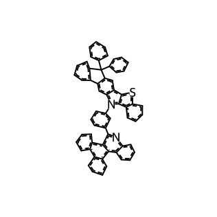 c1ccc(C2(c3ccccc3)c3ccccc3-c3cc4c(cc32)c2sc3ccccc3c2n4-c2cccc(-c3nc4ccccc4c4c5ccccc5c5ccccc5c34)c2)cc1